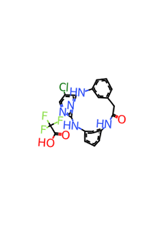 O=C(O)C(F)(F)F.O=C1Cc2cccc(c2)Nc2nc(ncc2Cl)Nc2cccc(c2)N1